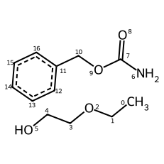 CCOCCO.NC(=O)OCc1ccccc1